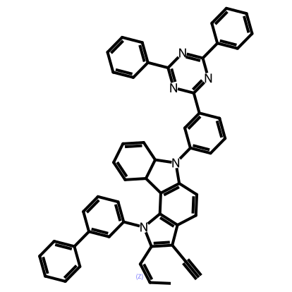 C#Cc1c(/C=C\C)n(-c2cccc(-c3ccccc3)c2)c2c3c(ccc12)N(c1cccc(-c2nc(-c4ccccc4)nc(-c4ccccc4)n2)c1)C1C=CC=CC31